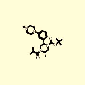 CC(C)C(=O)N1C[C@@H](c2cccc(N3CCN(C)CC3)c2)N(C(=O)OC(C)(C)C)C[C@H]1C